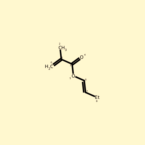 C=C(C)C(=O)O/C=C/CC